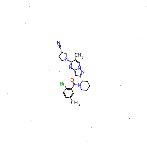 Cc1ccc(Br)c(C(=O)N2CCCC[C@H]2c2cc3nc(N4CC[C@H](C#N)C4)c(C)cn3n2)c1